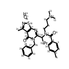 Cc1ccc(C(=O)N(CCCN(C)C)C(c2nc3snc(C)c3c(=O)n2Cc2ccccc2)C(C)C)cc1.[Cl-].[H+]